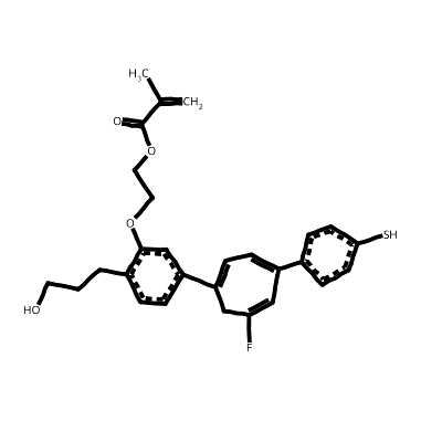 C=C(C)C(=O)OCCOc1cc(C2=CC=C(c3ccc(S)cc3)C=C(F)C2)ccc1CCCO